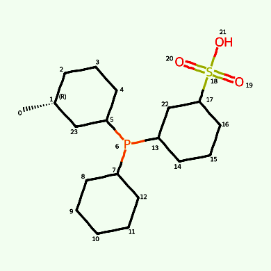 C[C@@H]1CCCC(P(C2CCCCC2)C2CCCC(S(=O)(=O)O)C2)C1